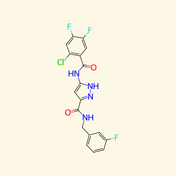 O=C(NCc1cccc(F)c1)c1cc(NC(=O)c2cc(F)c(F)cc2Cl)[nH]n1